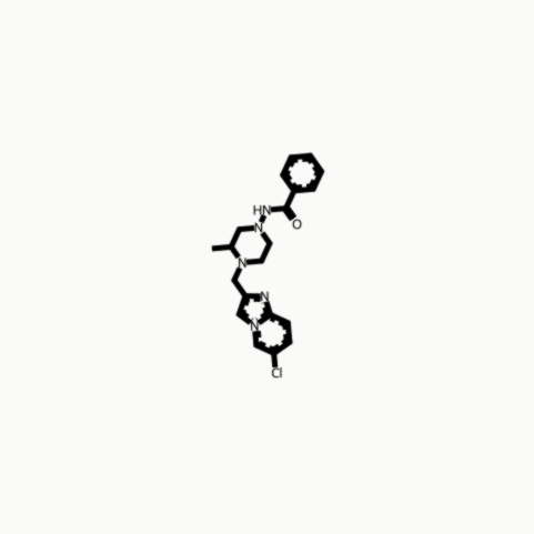 CC1CN(NC(=O)c2ccccc2)CCN1Cc1cn2cc(Cl)ccc2n1